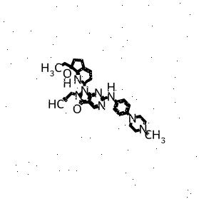 C#CCn1c(=O)c2cnc(Nc3ccc(N4CCN(C)CC4)cc3)nc2n1C1CC=C2CCC(O)(CC)C2=N1